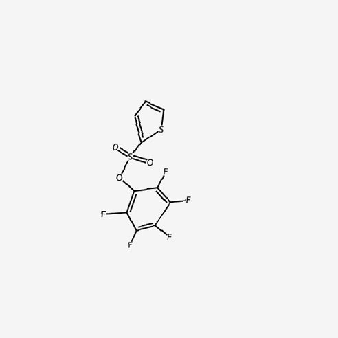 O=S(=O)(Oc1c(F)c(F)c(F)c(F)c1F)c1cccs1